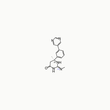 C/N=C1/NC(=O)C[C@@](C)(c2cccc(-c3cncnc3)c2)N1